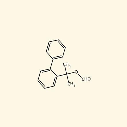 CC(C)(OC=O)c1ccccc1-c1ccccc1